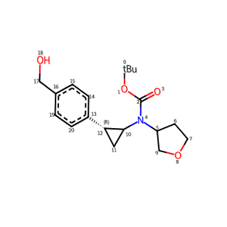 CC(C)(C)OC(=O)N(C1CCOC1)C1C[C@@H]1c1ccc(CO)cc1